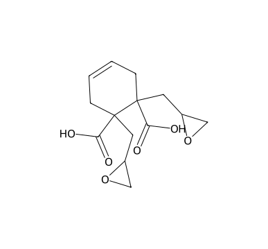 O=C(O)C1(CC2CO2)CC=CCC1(CC1CO1)C(=O)O